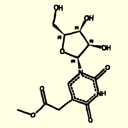 COC(=O)Cc1cn([C@@H]2O[C@H](CO)[C@H](O)[C@@H]2O)c(=O)[nH]c1=O